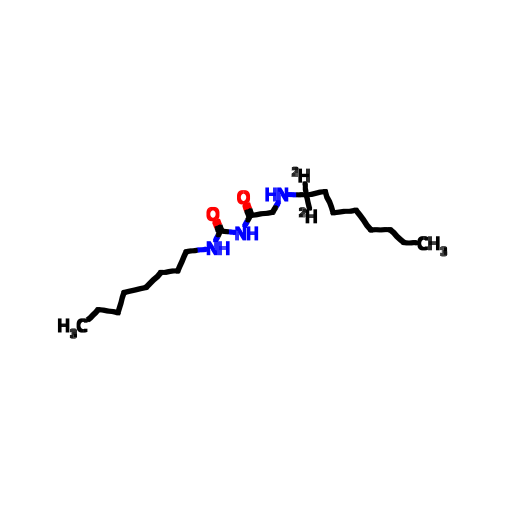 [2H]C([2H])(CCCCCCC)NCC(=O)NC(=O)NCCCCCCCC